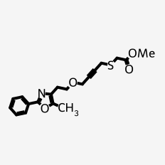 COC(=O)CSCC#CCOCCc1nc(-c2ccccc2)oc1C